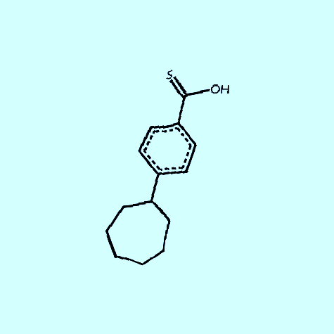 OC(=S)c1ccc(C2CCCCCC2)cc1